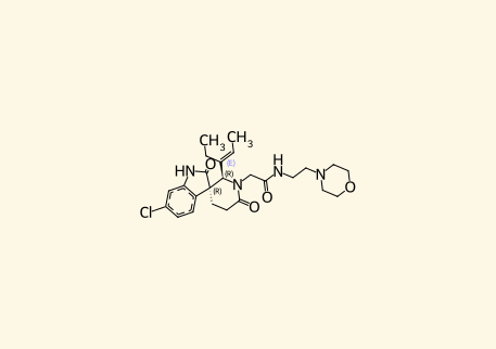 C/C=C(\CC)[C@H]1N(CC(=O)NCCN2CCOCC2)C(=O)CC[C@]12C(=O)Nc1cc(Cl)ccc12